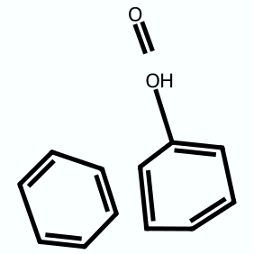 C=O.Oc1ccccc1.c1ccccc1